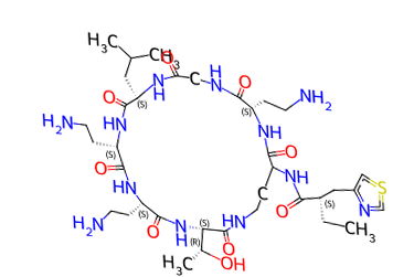 CC[C@@H](Cc1cscn1)C(=O)NC1CCNC(=O)[C@H]([C@@H](C)O)NC(=O)[C@H](CCN)NC(=O)[C@H](CCN)NC(=O)[C@H](CC(C)C)NC(=O)CNC(=O)[C@H](CCN)NC1=O